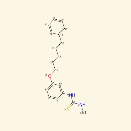 CCNC(=S)Nc1cccc(OCCCCCc2ccccc2)c1